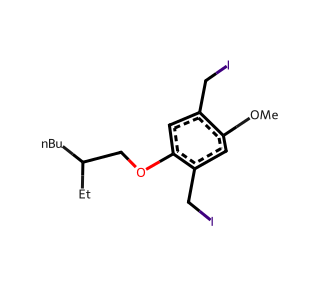 CCCCC(CC)COc1cc(CI)c(OC)cc1CI